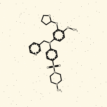 COc1ccc(N(Cc2cccnc2)c2ccc(S(=O)(=O)N3CCN(C)CC3)cc2)cc1OC1CCCO1